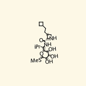 CS[C@H]1O[C@H]([C@H](NC(=O)[C@H]2NC[C@@H]2CCC2CCC2)C(C)C)[C@H](O)[C@H](O)[C@H]1O